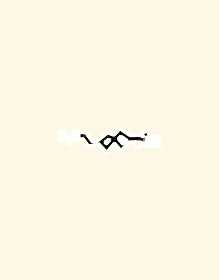 CCC[C@H]1CC2(C1)C[C@H]([C@@H]1CN1)C2